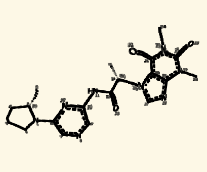 C[C@H]1CCCN1c1cncc(NC(=O)[C@H](C)n2cnc3c2c(=O)n(C)c(=O)n3C)n1